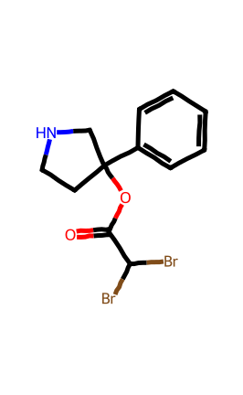 O=C(OC1(c2ccccc2)CCNC1)C(Br)Br